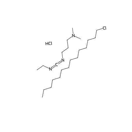 CCCCCCCCCCCCCCCl.CCN=C=NCCCN(C)C.Cl